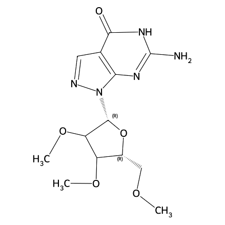 COC[C@H]1O[C@@H](n2ncc3c(=O)[nH]c(N)nc32)C(OC)C1OC